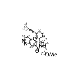 COC(C)CCC1(C)Cc2ccc(C#CC3CC3)cc2C12NC(=O)N(Cc1cccnn1)C2=O